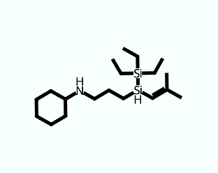 CC[Si](CC)(CC)[SiH](C=C(C)C)CCCNC1CCCCC1